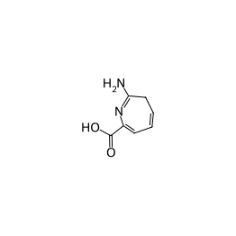 NC1=NC(C(=O)O)=CC=CC1